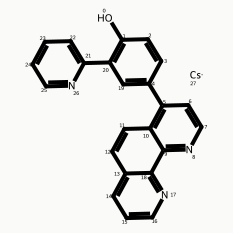 Oc1ccc(-c2ccnc3c2ccc2cccnc23)cc1-c1ccccn1.[Cs]